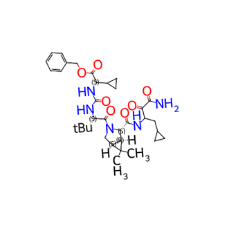 CC(C)(C)[C@H](NC(=O)N[C@H](C(=O)OCc1ccccc1)C1CC1)C(=O)N1C[C@H]2[C@@H]([C@H]1C(=O)NC(CC1CC1)C(=O)C(N)=O)C2(C)C